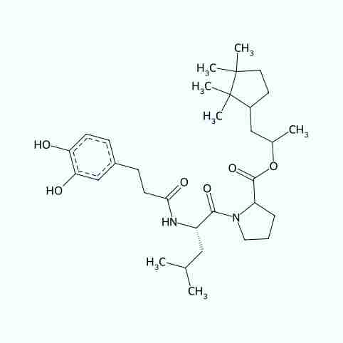 CC(C)C[C@H](NC(=O)CCc1ccc(O)c(O)c1)C(=O)N1CCCC1C(=O)OC(C)CC1CCC(C)(C)C1(C)C